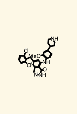 COc1cc(C2CCNCC2)ccc1Nc1cc(Cc2c(Cl)cccc2Cl)nc2cn[nH]c(=O)c12